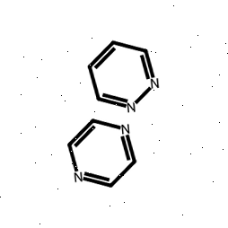 c1ccnnc1.c1cnccn1